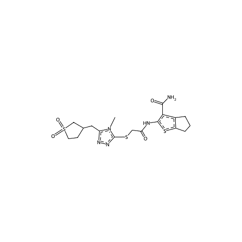 Cn1c(CC2CCS(=O)(=O)C2)nnc1SCC(=O)Nc1sc2c(c1C(N)=O)CCC2